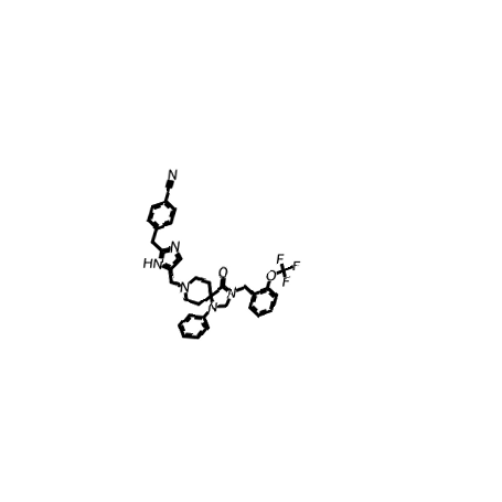 N#Cc1ccc(Cc2ncc(CN3CCC4(CC3)C(=O)N(Cc3ccccc3OC(F)(F)F)CN4c3ccccc3)[nH]2)cc1